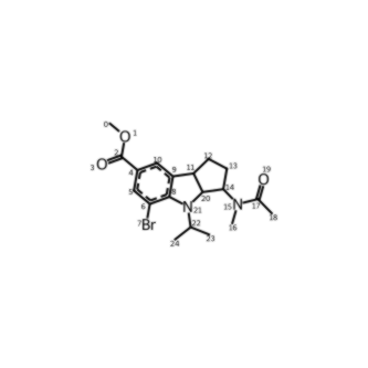 COC(=O)c1cc(Br)c2c(c1)C1CCC(N(C)C(C)=O)C1N2C(C)C